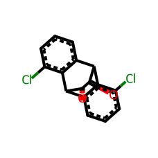 O=C1C(=O)C2c3cccc(Cl)c3C1c1cccc(Cl)c12